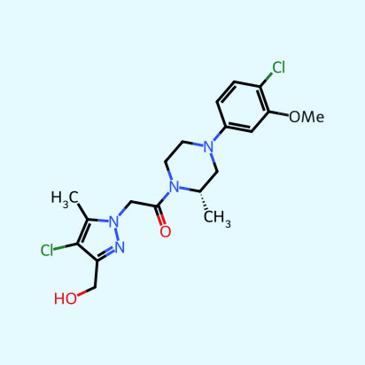 COc1cc(N2CCN(C(=O)Cn3nc(CO)c(Cl)c3C)[C@@H](C)C2)ccc1Cl